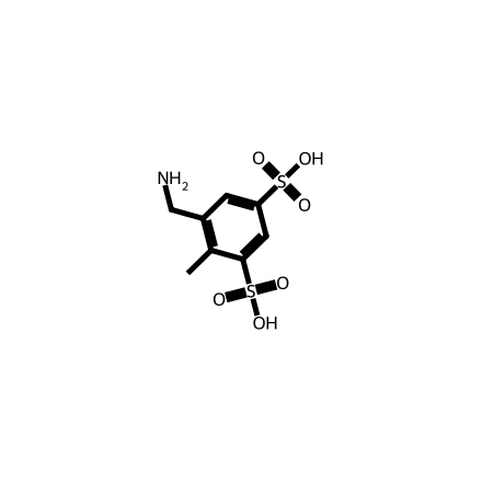 Cc1c(CN)cc(S(=O)(=O)O)cc1S(=O)(=O)O